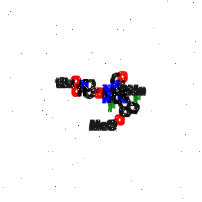 C#Cc1c(F)ccc2cc(OCOC)cc(-c3nc(OC)c4c(N5CCCOCC5)nc(OC[C@]56CCC[C@H]5N(C(=O)OC(C)(C)C)CCC6)nc4c3F)c12